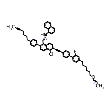 CC#CCCCCc1ccc(-c2ccc3c(Cl)c(C#Cc4ccc(-c5ccc(CCCCCCO/C=C/C)cc5F)cc4)ccc3c2/C=N/Nc2cccc3ccccc23)cc1